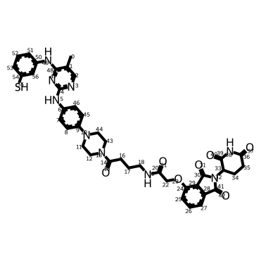 Cc1cnc(Nc2ccc(N3CCN(C(=O)CCCNC(=O)COc4cccc5c4C(=O)N(C4CCC(=O)NC4=O)C5=O)CC3)cc2)nc1Nc1cccc(S)c1